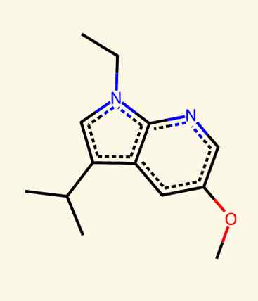 CCn1cc(C(C)C)c2cc(OC)cnc21